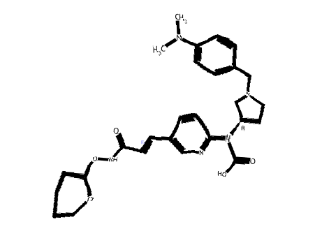 CN(C)c1ccc(CN2CC[C@@H](N(C(=O)O)c3ccc(/C=C/C(=O)NOC4CCCCO4)cn3)C2)cc1